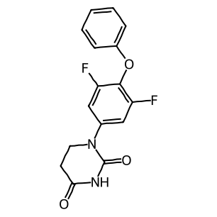 O=C1CCN(c2cc(F)c(Oc3ccccc3)c(F)c2)C(=O)N1